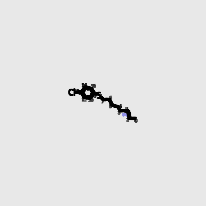 C/C=C/CCCCCSc1ccc(Cl)cc1